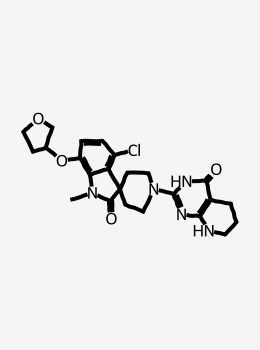 CN1C(=O)C2(CCN(c3nc4c(c(=O)[nH]3)CCCN4)CC2)c2c(Cl)ccc(OC3CCOC3)c21